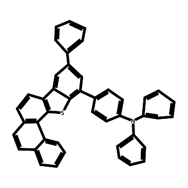 c1ccc(-c2cc(-c3ccc(N(c4ccccc4)c4ccccc4)cc3)c3sc4c(ccc5ccc6ccccc6c54)c3c2)cc1